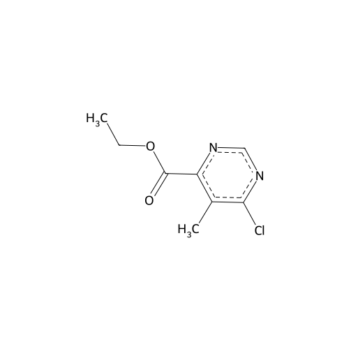 CCOC(=O)c1ncnc(Cl)c1C